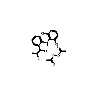 CC(=O)OOC(C)=O.Clc1cccc(Cl)c1Nc1ccccc1C(Cl)C(Cl)Cl